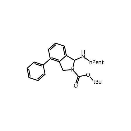 CCCCCNC1c2cccc(-c3ccccc3)c2CN1C(=O)OC(C)(C)C